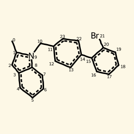 Cc1cc2ccccc2n1Cc1ccc(-c2ccccc2Br)cc1